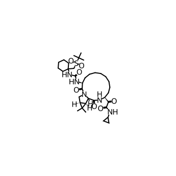 CC1(C)[C@@H]2[C@H]3C(=O)N[C@H](C(=O)C(=O)NC4CC4)CCCCCCCC[C@H](NC(=O)NC4(CS(=O)(=O)C(C)(C)C)CCCCC4)C(=O)N3C[C@@H]21